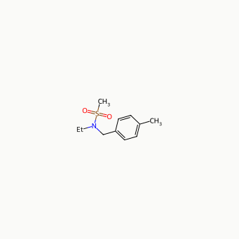 CCN(Cc1ccc(C)cc1)S(C)(=O)=O